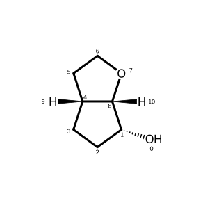 O[C@@H]1CC[C@@H]2CCO[C@@H]21